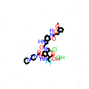 COc1cccc2cc(C(=O)Nc3ccc4[nH]c(C(=O)N5C[C@@H](CCl)c6c5cc(OC(=O)N5CCC(N7CCCCC7)CC5)c5[nH]c(C(F)(F)F)c(C(=O)O)c65)cc4c3)oc12.Cl